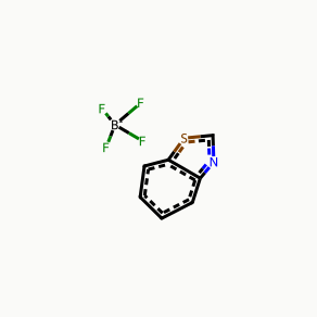 F[B-](F)(F)F.c1ccc2scnc2c1